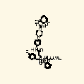 CO[N+](=O)c1ccccc1S(=O)(=O)N(CCC(=O)Nc1ccc(N2CCN(C(=O)Nc3c(Cl)cccc3Cl)CC2)cc1)Cc1ccc(F)cc1